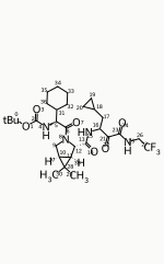 CC(C)(C)OC(=O)N[C@H](C(=O)N1C[C@H]2[C@@H]([C@H]1C(=O)NC(CC1CC1)C(=O)C(=O)NCC(F)(F)F)C2(C)C)C1CCCCC1